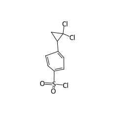 O=S(=O)(Cl)c1ccc(C2CC2(Cl)Cl)cc1